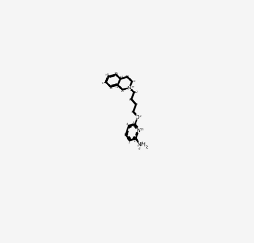 Nc1cccc(OCCCCN2CCC3C=CCC=C3C2)n1